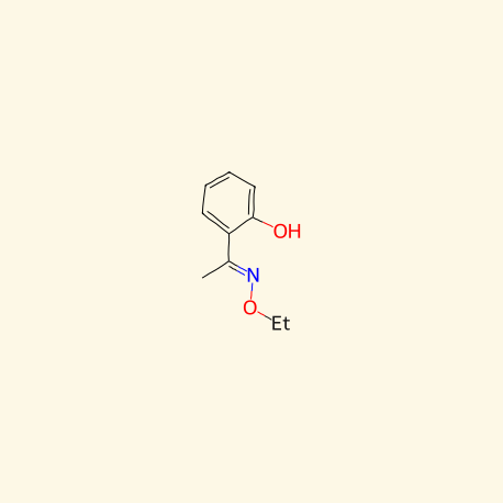 CCON=C(C)c1ccccc1O